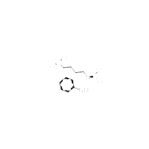 Nc1ccccc1.O=S(=O)=NCCCCS(=O)(=O)O